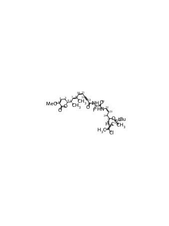 COC1=CC[C@@H]([C@@H](C)/C=C(C)/C=C\C#CC(=O)N[C@@H](F)C(=O)N/C=C\C[C@H](C/C=C(\C)Cl)O[Si](C)(C)C(C)(C)C)OC1=O